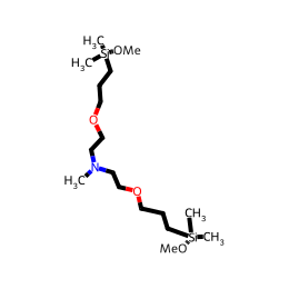 CO[Si](C)(C)CCCOCCN(C)CCOCCC[Si](C)(C)OC